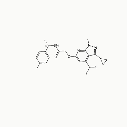 Cc1ccc([C@H](C)NC(=O)COc2cc(C(F)F)c3c(C4CC4)nn(C)c3n2)cc1